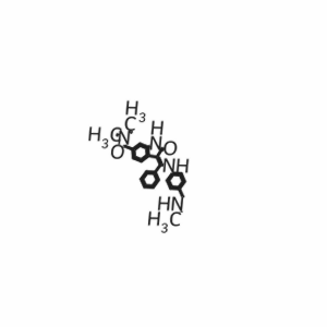 CCNCc1ccc(N/C(=C2\C(=O)Nc3cc(C(=O)N(C)CC)ccc32)c2ccccc2)cc1